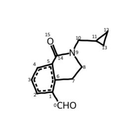 O=Cc1cccc2c1CCN(CC1CC1)C2=O